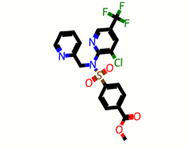 COC(=O)c1ccc(S(=O)(=O)N(Cc2ccccn2)c2ncc(C(F)(F)F)cc2Cl)cc1